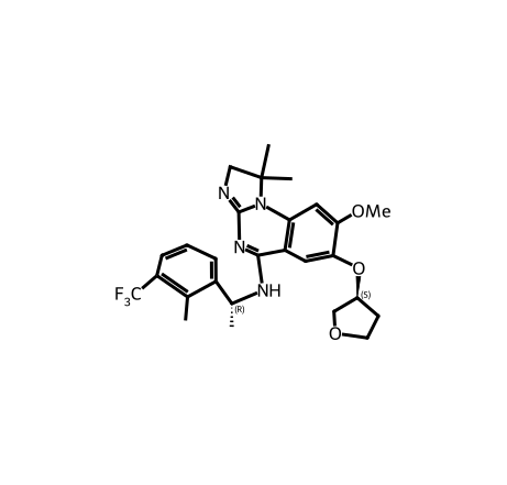 COc1cc2c(cc1O[C@H]1CCOC1)C(N[C@H](C)c1cccc(C(F)(F)F)c1C)=NC1=NCC(C)(C)N12